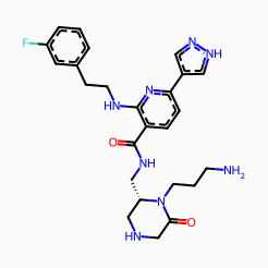 NCCCN1C(=O)CNC[C@@H]1CNC(=O)c1ccc(-c2cn[nH]c2)nc1NCCc1cccc(F)c1